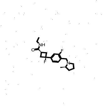 CCNC(=O)[C@H]1C[C@](F)(c2ccc(CN3CCC[C@H]3C)c(F)c2)C1